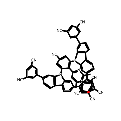 Cc1cc(-c2c(-n3c4cc(-c5cc(C#N)cc(C#N)c5)ccc4c4ccc(-c5cc(C#N)cc(C#N)c5)cc43)cc(C#N)cc2-n2c3cc(-c4cc(C#N)cc(C#N)c4)ccc3c3ccc(-c4cc(C#N)cc(C#N)c4)cc32)nc(C)n1